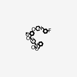 COc1cc(OC2CCN(Cc3cccc(F)c3)CC2)ccc1C(=O)N1CCC(N2C(=O)OCc3ccccc32)CC1